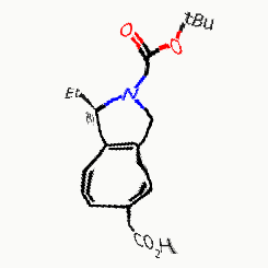 CC[C@@H]1c2ccc(C(=O)O)cc2CN1C(=O)OC(C)(C)C